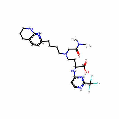 CN(C)C(=O)CN(CCCCc1ccc2c(n1)NCCC2)CCC(Nc1ccnc(C(F)(F)F)n1)C(=O)O